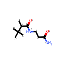 CC(C(=O)NCCC(N)=O)C(C)(C)C